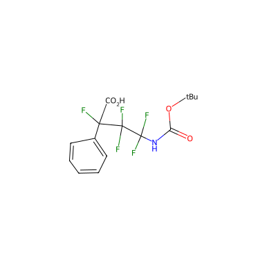 CC(C)(C)OC(=O)NC(F)(F)C(F)(F)C(F)(C(=O)O)c1ccccc1